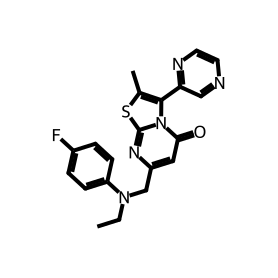 CCN(Cc1cc(=O)n2c(-c3cnccn3)c(C)sc2n1)c1ccc(F)cc1